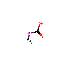 CPC(=O)O